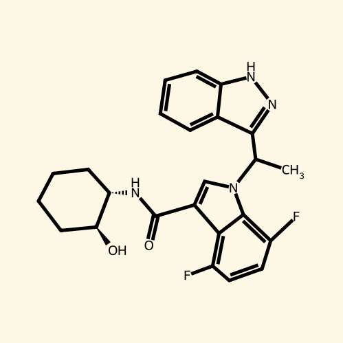 CC(c1n[nH]c2ccccc12)n1cc(C(=O)N[C@H]2CCCC[C@@H]2O)c2c(F)ccc(F)c21